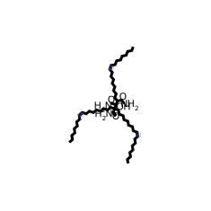 CCCCCCCC/C=C\CCCCCCCCC(C(N)=O)C(O)(C(N)=O)C(CCCCCCCC/C=C\CCCCCCCC)(CCCCCCCC/C=C\CCCCCCCC)C(N)=O